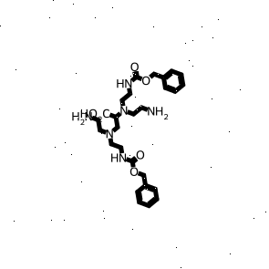 NCCN(CCNC(=O)OCc1ccccc1)CC(C(=O)O)N(CCN)CCNC(=O)OCc1ccccc1